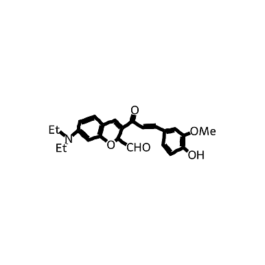 CCN(CC)c1ccc2c(c1)OC(C=O)C(C(=O)/C=C/c1ccc(O)c(OC)c1)=C2